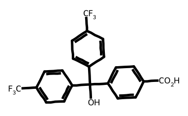 O=C(O)c1ccc(C(O)(c2ccc(C(F)(F)F)cc2)c2ccc(C(F)(F)F)cc2)cc1